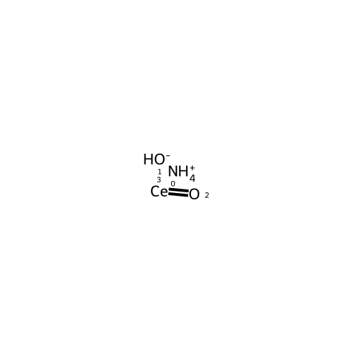 [NH4+].[OH-].[O]=[Ce]